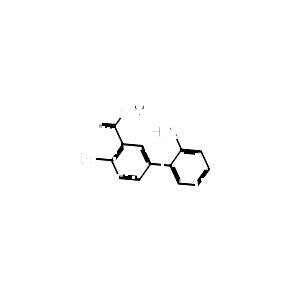 COC(=O)c1cc(-c2ccccc2N)ccc1Br